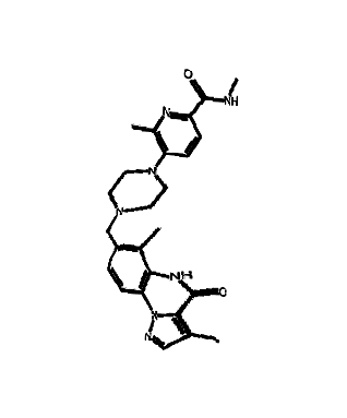 CNC(=O)c1ccc(N2CCN(Cc3ccc4c([nH]c(=O)c5c(C)cnn54)c3C)CC2)c(C)n1